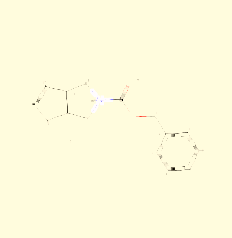 O=C(OCc1ccccc1)N1C[C@H]2CC=C[C@@]2(I)C1